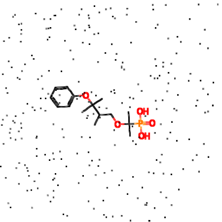 CC(COC(C)(C)P(=O)(O)O)C(C)(C)Oc1ccccc1